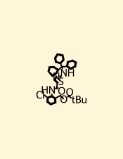 CC(C)(C)C(=O)OCc1cccc(Cl)c1NC(=O)c1cnc(NC(c2ccccc2)(c2ccccc2)c2ccccc2)s1